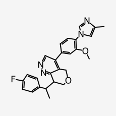 COc1cc(-c2cnnc3c2COCC3C(C)c2ccc(F)cc2)ccc1-n1cnc(C)c1